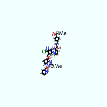 CNC(=O)c1ccc(/C=C/C(=O)C(N)c2cccn2-c2ccc(Cl)c(COc3cccc4c3nc(OC)n4OCc3ccccn3)c2Cl)cc1